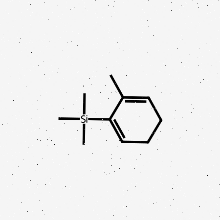 CC1=CCCC=C1[Si](C)(C)C